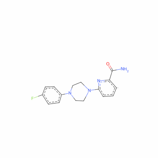 NC(=O)c1[c]ccc(N2CCN(c3ccc(F)cc3)CC2)n1